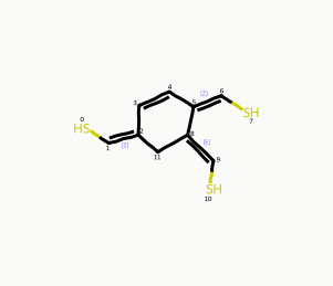 S/C=C1C=CC(=C/S)/C(=C/S)C\1